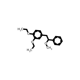 CCOc1ccc([CH]C(OC)c2ccccc2)cc1OCC